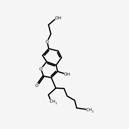 CCCCCC(CC)c1c(O)c2ccc(OCCO)cc2oc1=O